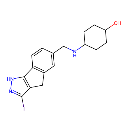 OC1CCC(NCc2ccc3c(c2)Cc2c(I)n[nH]c2-3)CC1